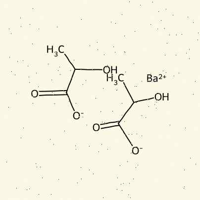 CC(O)C(=O)[O-].CC(O)C(=O)[O-].[Ba+2]